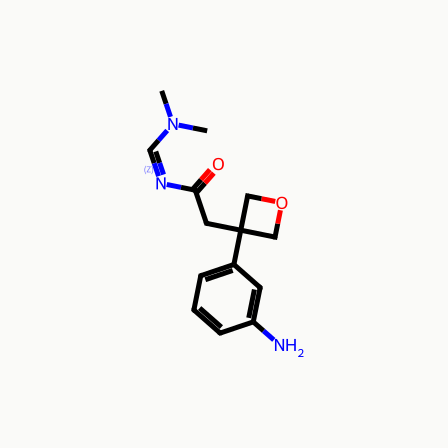 CN(C)/C=N\C(=O)CC1(c2cccc(N)c2)COC1